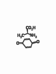 C[C@H](N)C(=O)O.O=C1C=CC(=O)C=C1